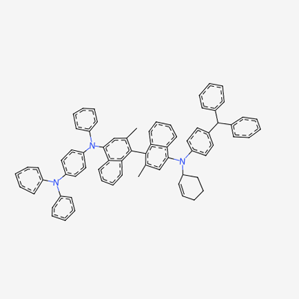 Cc1cc(N(c2ccccc2)c2ccc(N(c3ccccc3)c3ccccc3)cc2)c2ccccc2c1-c1c(C)cc(N(c2ccc(C(c3ccccc3)c3ccccc3)cc2)C2C=CCCC2)c2ccccc12